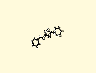 c1ccc(COc2nsc(N3CCCCC3)n2)cc1